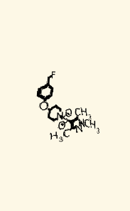 Cc1nn(C)c(C)c1S(=O)(=O)N1CCC(Oc2ccc(CF)cc2)CC1